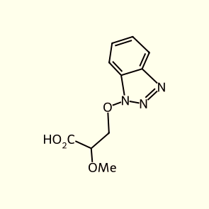 COC(COn1nnc2ccccc21)C(=O)O